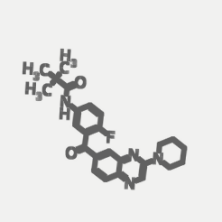 CC(C)(C)C(=O)Nc1ccc(F)c(C(=O)c2ccc3ncc(N4CCCCC4)nc3c2)c1